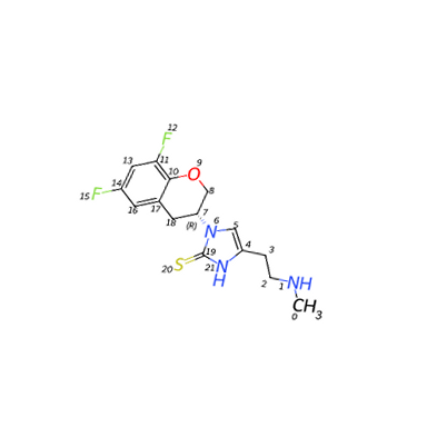 CNCCc1cn([C@H]2COc3c(F)cc(F)cc3C2)c(=S)[nH]1